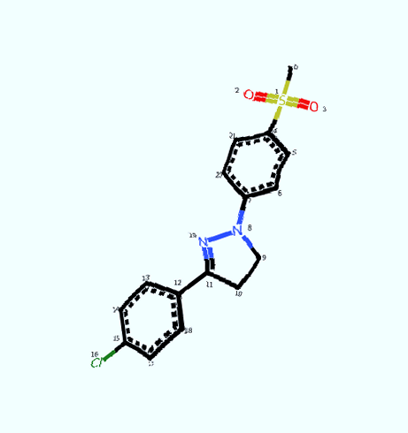 CS(=O)(=O)c1ccc(N2CCC(c3ccc(Cl)cc3)=N2)cc1